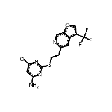 Nc1cc(Cl)nc(SCCc2cc3c(C(F)(F)F)coc3cn2)n1